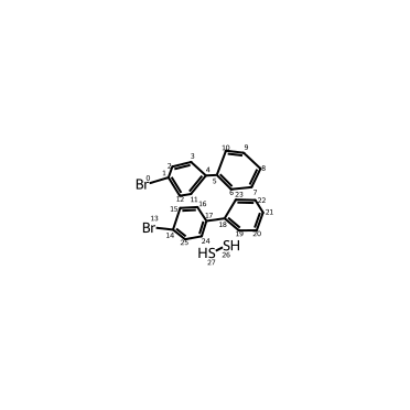 Brc1ccc(-c2ccccc2)cc1.Brc1ccc(-c2ccccc2)cc1.SS